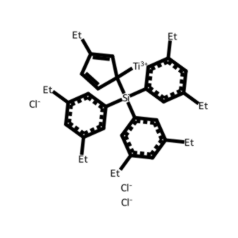 CCC1=C[C]([Ti+3])([Si](c2cc(CC)cc(CC)c2)(c2cc(CC)cc(CC)c2)c2cc(CC)cc(CC)c2)C=C1.[Cl-].[Cl-].[Cl-]